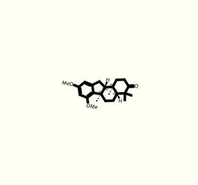 COc1cc2c(c(OC)c1)[C@]1(C)CC[C@H]3C(C)(C)C(=O)CC[C@]3(C)[C@H]1C2